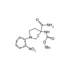 CC(C)(C)OC(=O)NC1(C(N)=O)CCN(c2ccccc2[N+](=O)[O-])CC1